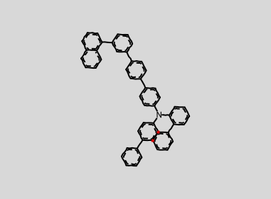 c1ccc(-c2ccc(N(c3ccc(-c4ccc(-c5cccc(-c6cccc7ccccc67)c5)cc4)cc3)c3ccccc3-c3ccccc3)cc2)cc1